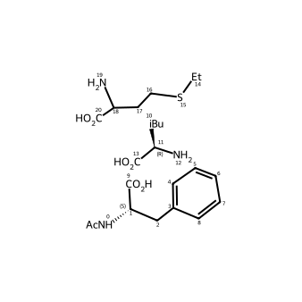 CC(=O)N[C@@H](Cc1ccccc1)C(=O)O.CCC(C)[C@@H](N)C(=O)O.CCSCCC(N)C(=O)O